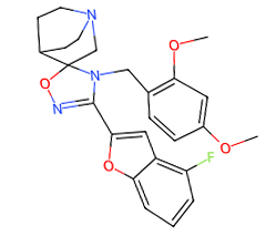 COc1ccc(CN2C(c3cc4c(F)cccc4o3)=NOC23CN2CCC3CC2)c(OC)c1